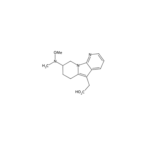 CON(C)C1CCc2c(CC(=O)O)c3cccnc3n2C1